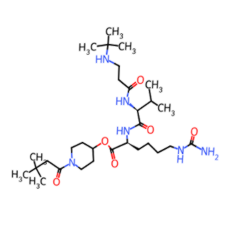 CC(C)[C@H](NC(=O)CCNC(C)(C)C)C(=O)N[C@@H](CCCCNC(N)=O)C(=O)OC1CCN(C(=O)CC(C)(C)C)CC1